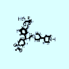 CS(=O)(=O)N1CCC([C@@H](CCN2CCC(C3CCNCC3)CC2)c2cc(F)cc(F)c2)CC1.O=C(O)C(F)(F)F